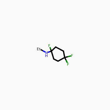 CCNC1(F)CCC(F)(F)CC1